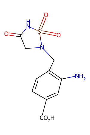 Nc1cc(C(=O)O)ccc1CN1CC(=O)NS1(=O)=O